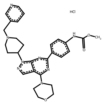 COC(=O)Nc1ccc(-c2nc(N3CCOCC3)c3cnn(C4CCN(Cc5cccnc5)CC4)c3n2)cc1.Cl